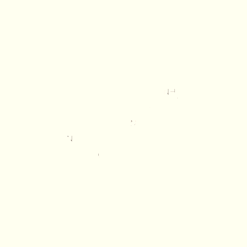 N#Cc1ccc(N2CCCC(CN)C2)cc1Cl